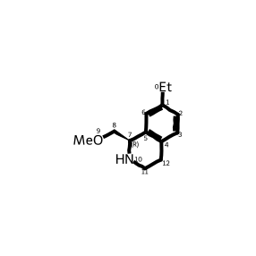 CCc1ccc2c(c1)[C@H](COC)NCC2